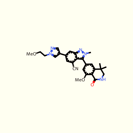 COCCn1cc(-c2cc(C#N)c3c(-c4cc(OC)c5c(c4)C(C)(C)CNC5=O)n(C)nc3c2)cn1